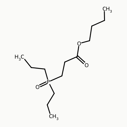 CCCCOC(=O)CCP(=O)(CCC)CCC